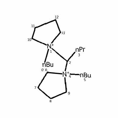 CCCC[N+]1(C(CCC)[N+]2(CCCC)CCCC2)CCCC1